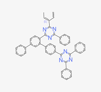 C=C/C(=C\C)c1nc(-c2ccccc2)nc(-c2ccc(-c3ccccc3)cc2-c2ccc(-c3nc(-c4ccccc4)nc(-c4ccccc4)n3)cc2)n1